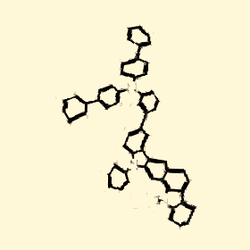 C[Si]1(C)c2ccccc2-c2ccc3cc4c5cc(-c6cccc(N(c7ccc(-c8ccccc8)cc7)c7ccc(-c8ccccc8)cc7)c6)ccc5n(-c5ccccc5)c4cc3c21